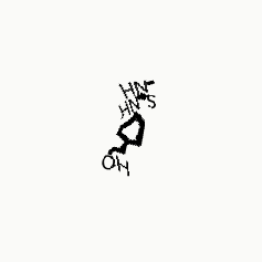 CNC(=S)Nc1ccc(CCO)cc1